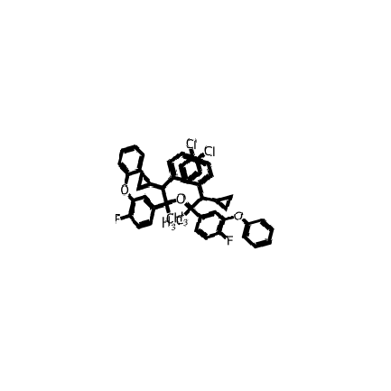 CC(OC(C)(c1ccc(F)c(Oc2ccccc2)c1)C(c1ccc(Cl)cc1)C1CC1)(c1ccc(F)c(Oc2ccccc2)c1)C(c1ccc(Cl)cc1)C1CC1